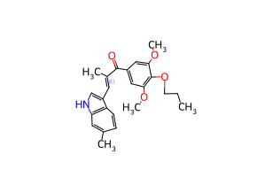 CCCOc1c(OC)cc(C(=O)/C(C)=C/c2c[nH]c3cc(C)ccc23)cc1OC